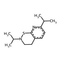 CC(C)c1ccc2c(n1)SN(C(C)C)CC2